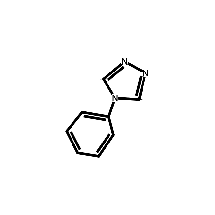 [c]1nn[c]n1-c1ccccc1